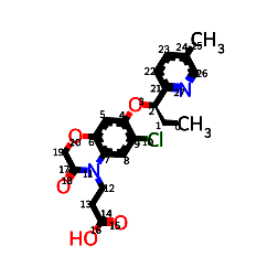 CC[C@@H](Oc1cc2c(cc1Cl)N(CCC(=O)O)C(=O)CO2)c1ccc(C)cn1